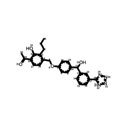 CCCc1c(COc2ccc(C(O)c3cccc(-c4nnn[nH]4)c3)cc2)ccc(C(C)=O)c1O